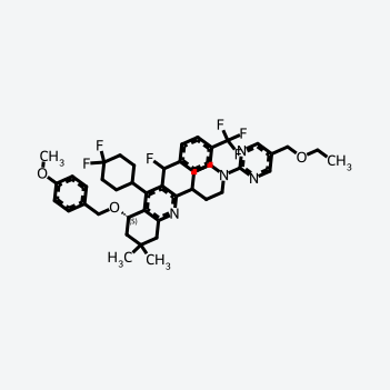 CCOCc1cnc(N2CCC(c3nc4c(c(C5CCC(F)(F)CC5)c3C(F)c3ccc(C(F)(F)F)cc3)[C@@H](OCc3ccc(OC)cc3)CC(C)(C)C4)CC2)nc1